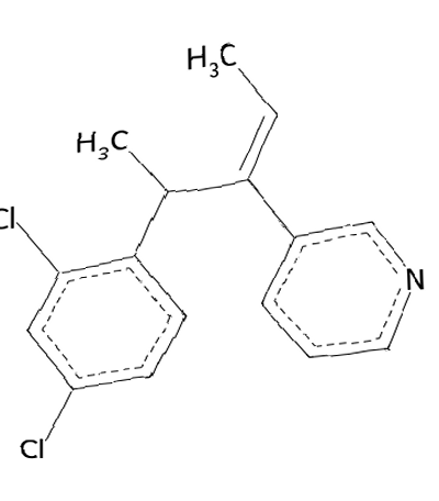 CC=C(c1cccnc1)C(C)c1ccc(Cl)cc1Cl